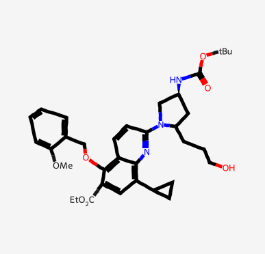 CCOC(=O)c1cc(C2CC2)c2nc(N3C[C@@H](NC(=O)OC(C)(C)C)CC3CCCO)ccc2c1OCc1ccccc1OC